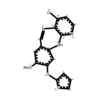 COc1cc2c(cc1Oc1cccs1)Nc1nccc(Cl)c1N=C2